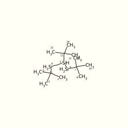 CC(C)(C)[SiH2][SiH]([SiH2]C(C)(C)C)C(C)(C)C